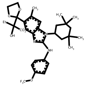 CCC(O)(C(=O)O)C1(c2cc3nc(Nc4ccc(OC(F)(F)F)cc4)n(C4CC(C)(C)CC(C)(C)C4)c3cc2C)OCCO1